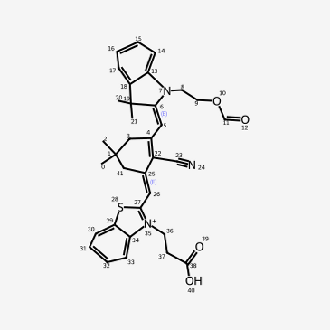 CC1(C)CC(/C=C2/N(CCOC=O)c3ccccc3C2(C)C)=C(C#N)C(=C/c2sc3ccccc3[n+]2CCC(=O)O)/C1